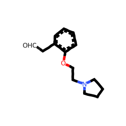 O=CCc1ccccc1OCCN1CCCC1